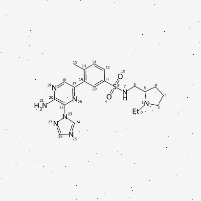 CCN1CCCC1CNS(=O)(=O)c1ccc(C)c(-c2cnc(N)c(-n3cncn3)n2)c1